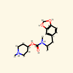 CC(Cc1ccc2c(c1)OCO2)N(C)C(=O)OC1CCN(C)CC1